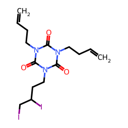 C=CCCn1c(=O)n(CCC=C)c(=O)n(CCC(I)CI)c1=O